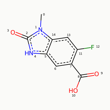 Cn1c(=O)[nH]c2cc(C(=O)O)c(F)cc21